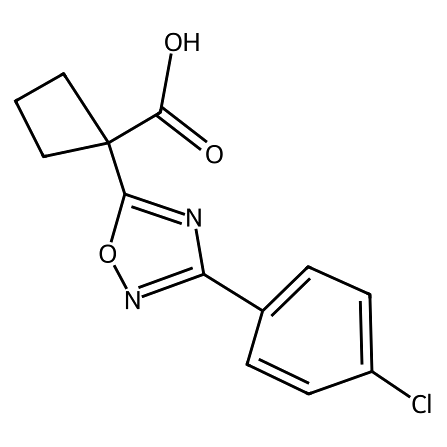 O=C(O)C1(c2nc(-c3ccc(Cl)cc3)no2)CCC1